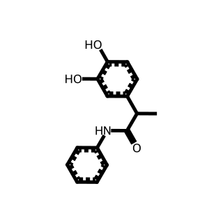 CC(C(=O)Nc1ccccc1)c1ccc(O)c(O)c1